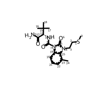 CSCCn1c(=O)n(C(=O)N[C@H](C(N)=O)C(C)(C)C)c2cccc(C)c21